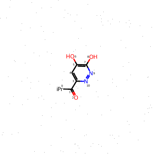 CC(C)C(=O)c1cc(O)c(O)nn1